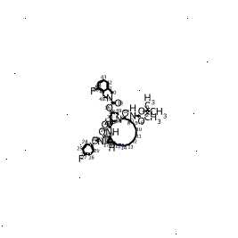 CC(C)(C)OC(=O)N[C@H]1CCCCC/C=C\[C@@H]2C[C@@]2(C(=O)NOc2ccc(F)cc2)NC(=O)[C@@H]2C[C@@H](OC(=O)N3Cc4cccc(F)c4C3)CN2C1=O